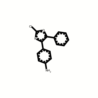 Nc1ccc(-c2nc(Cl)oc2-c2ccccc2)cc1